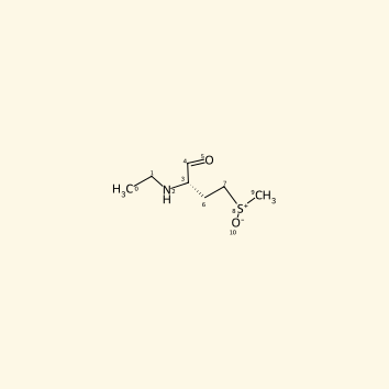 CCN[C@H](C=O)CC[S+](C)[O-]